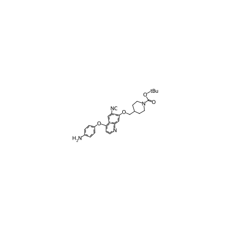 [C-]#[N+]c1cc2c(Oc3ccc(N)cc3)ccnc2cc1OCC1CCN(C(=O)OC(C)(C)C)CC1